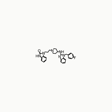 O=c1[nH]c2ccccc2n1CCCN1CCC(Nc2nc3ccccc3n2Cc2ccc(F)cc2)CC1